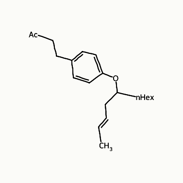 CC=CCC(CCCCCC)Oc1ccc(CCC(C)=O)cc1